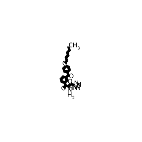 CCCC/C=C/COc1ccc(C(=O)c2cccc3c(=O)c(N)c(-c4nnn[nH]4)oc23)cc1